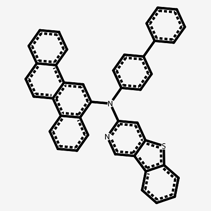 c1ccc(-c2ccc(N(c3cc4sc5ccccc5c4cn3)c3cc4c5ccccc5ccc4c4ccccc34)cc2)cc1